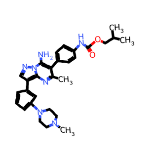 Cc1nc2c(-c3cccc(N4CCN(C)CC4)c3)cnn2c(N)c1-c1ccc(NC(=O)OCC(C)C)cc1